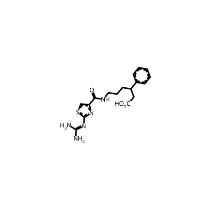 NC(N)=Nc1nc(C(=O)NCCCC(CC(=O)O)c2ccccc2)cs1